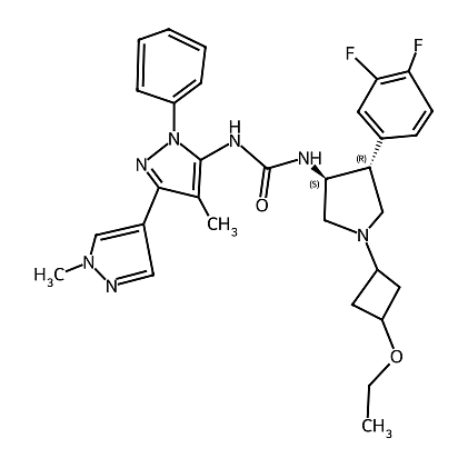 CCOC1CC(N2C[C@@H](NC(=O)Nc3c(C)c(-c4cnn(C)c4)nn3-c3ccccc3)[C@H](c3ccc(F)c(F)c3)C2)C1